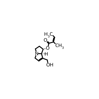 C/C=C(/C)C(=O)O[C@H]1CCN2CC=C(CO)[C@H]12